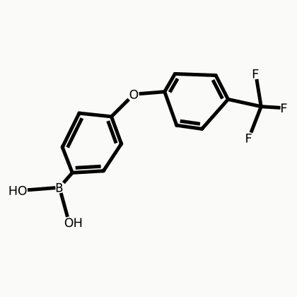 OB(O)c1ccc(Oc2ccc(C(F)(F)F)cc2)cc1